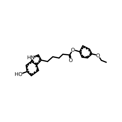 CCOc1ccc(OC(=O)CCCCc2c[nH]c3cc(O)ccc23)cc1